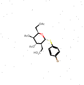 CC(=O)OC[C@H]1O[C@H](Sc2ccc(Br)cc2)[C@@H](CC(=O)O)[C@H](OC(C)=O)[C@H]1OC(C)=O